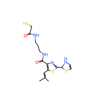 CC(C)=Cc1sc(C2NC=CS2)nc1C(=O)NCCCNC(=O)CS